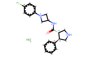 Cl.O=C(NC1CN(c2ccc(F)cc2)C1)[C@@H]1CNC[C@H]1c1ccccc1